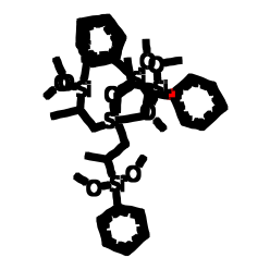 CO[Si](OC)(c1ccccc1)C(C)C[Si](CC(C)[Si](OC)(OC)c1ccccc1)(CC(C)[Si](OC)(OC)c1ccccc1)CC(C)[Si](OC)(OC)c1ccccc1